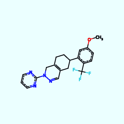 COc1ccc(C(F)(F)F)c(C2CCC3=C(C=NN(c4ncccn4)C3)C2)c1